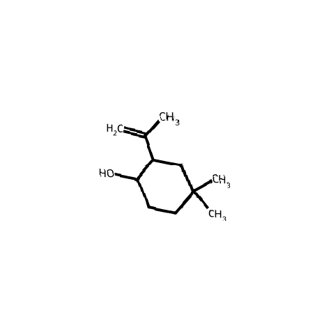 C=C(C)C1CC(C)(C)CCC1O